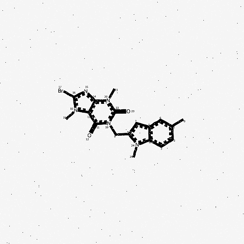 Cc1ccc2c(c1)cc(Cn1c(=O)c3c(nc(Br)n3C)n(C)c1=O)n2C